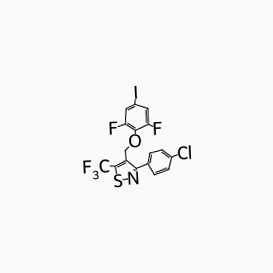 Fc1cc(I)cc(F)c1OCc1c(-c2ccc(Cl)cc2)nsc1C(F)(F)F